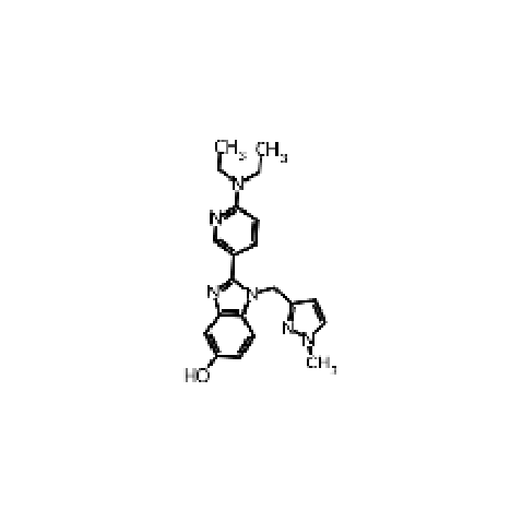 CCN(CC)c1ccc(-c2nc3cc(O)ccc3n2Cc2ccn(C)n2)cn1